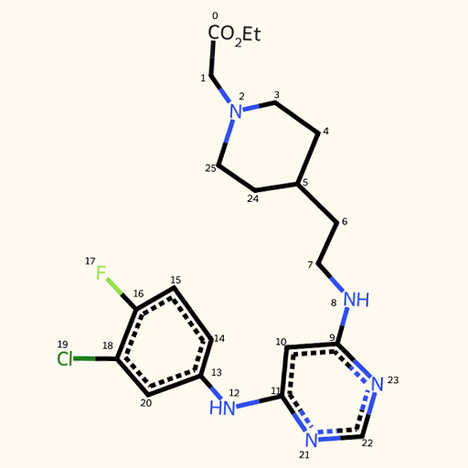 CCOC(=O)CN1CCC(CCNc2cc(Nc3ccc(F)c(Cl)c3)ncn2)CC1